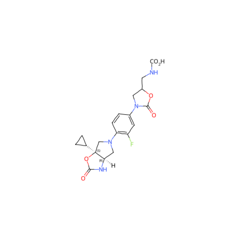 O=C(O)NCC1CN(c2ccc(N3C[C@H]4NC(=O)O[C@@]4(C4CC4)C3)c(F)c2)C(=O)O1